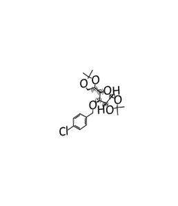 CC1(C)O[C@H]2O[C@H]([C@H]3COC(C)(C)O3)[C@H](OCc3ccc(Cl)cc3)[C@H]2O1